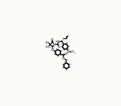 C=CC[C@@H](NC(=O)N1C(=O)C(CC)(CC)[C@@H]1Oc1ccc(C(=O)OCc2ccccc2)cc1)c1ccc(OC(F)(F)F)cc1